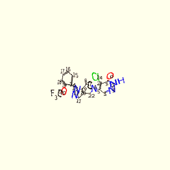 O=c1[nH]ncc(N2CCc3c(cnn3-c3ccccc3OC(F)(F)F)C2)c1Cl